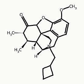 COc1ccc2c3c1OC1C(=O)[C@@H](C)[C@H](C)[C@H]4[C@@H](C2)N(CC2CCC2)CC[C@]314